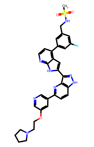 CS(=O)(=O)NCc1cc(F)cc(-c2ccnc3[nH]c(-c4n[nH]c5ccc(-c6cncc(OCCN7CCCC7)c6)nc45)cc23)c1